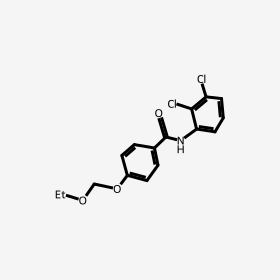 CCOCOc1ccc(C(=O)Nc2cccc(Cl)c2Cl)cc1